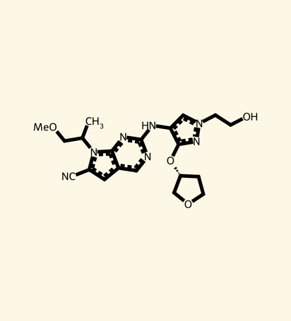 COCC(C)n1c(C#N)cc2cnc(Nc3cn(CCO)nc3O[C@@H]3CCOC3)nc21